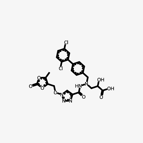 Cc1oc(=O)oc1COn1cc(C(=O)NN(Cc2ccc(-c3cc(Cl)ccc3Cl)cc2)CC(O)C(=O)O)nn1